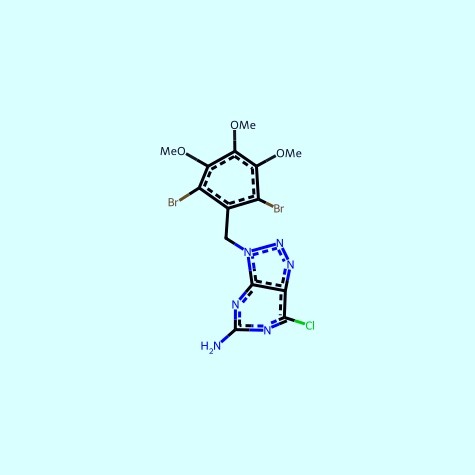 COc1c(Br)c(Cn2nnc3c(Cl)nc(N)nc32)c(Br)c(OC)c1OC